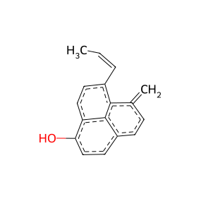 C=c1ccc2ccc(O)c3ccc(/C=C\C)c1c23